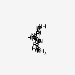 CS(=O)(=O)NCc1cc(F)cc(-c2cncc3[nH]c(-c4n[nH]c5ncc(-c6cncc(CN7CCNCC7)c6)cc45)nc23)c1